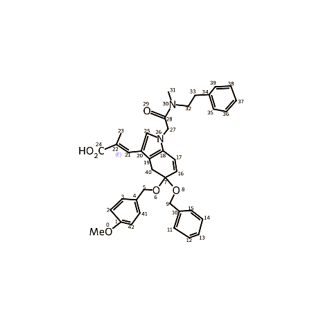 COc1ccc(COC2(OCc3ccccc3)C=Cc3c(c(/C=C(\C)C(=O)O)cn3CC(=O)N(C)CCc3ccccc3)C2)cc1